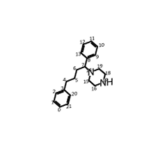 c1ccc(CCCC(c2ccccc2)N2CCNCC2)cc1